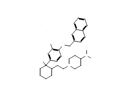 CN(C)C1CCN(CCC2CCCCC2(O)c2ccc(OCc3ccc4ccccc4c3)c(Cl)c2)CC1.Cl.Cl